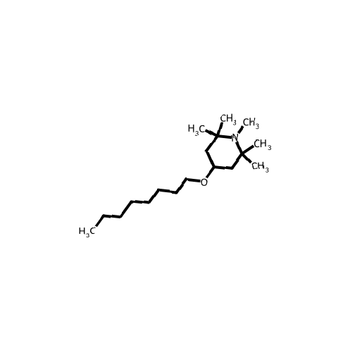 CCCCCCCCOC1CC(C)(C)N(C)C(C)(C)C1